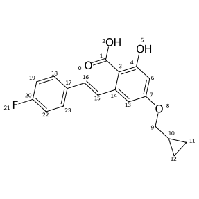 O=C(O)c1c(O)cc(OCC2CC2)cc1C=Cc1ccc(F)cc1